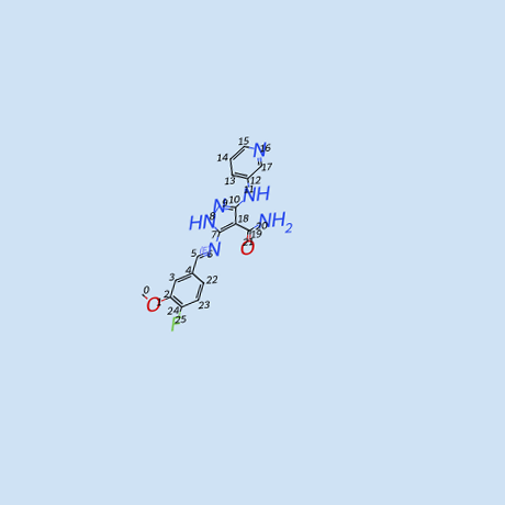 COc1cc(/C=N/c2[nH]nc(Nc3cccnc3)c2C(N)=O)ccc1F